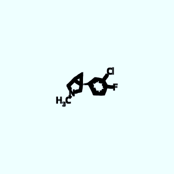 CN1CC2C[C@@]2(c2ccc(F)c(Cl)c2)C1